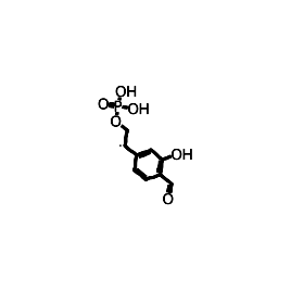 O=Cc1ccc([CH]COP(=O)(O)O)cc1O